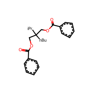 CCCCC(COC(=O)c1ccccc1)(COC(=O)c1ccccc1)C(C)C